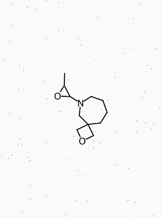 CC1OC1N1CCCCC2(COC2)C1